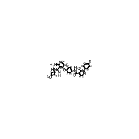 CO[C@H]1C[C@@H](NC(=N)c2c(Oc3ccc(NC(=O)c4ccnn(-c5ccc(F)cc5)c4=O)cc3F)ccnc2N)C1